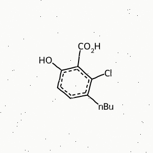 CCCCc1ccc(O)c(C(=O)O)c1Cl